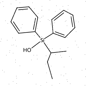 CCC(C)[Si](O)(c1ccccc1)c1ccccc1